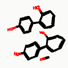 C=O.Oc1ccc(-c2ccccc2O)cc1.Oc1ccc(-c2ccccc2O)cc1